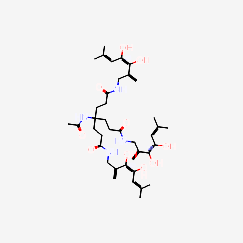 C=C(CNC(=O)CCC(CCC(=O)NCC(=C)/C(O)=C(/O)C=C(C)C)(CCC(=O)NCC(=C)/C(O)=C(/O)C=C(C)C)NC(C)=O)/C(O)=C(/O)C=C(C)C